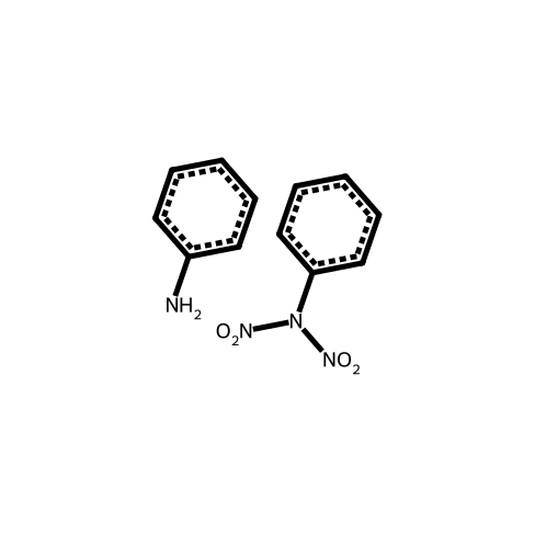 Nc1ccccc1.O=[N+]([O-])N(c1ccccc1)[N+](=O)[O-]